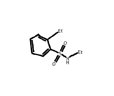 CCNS(=O)(=O)c1ccccc1CC